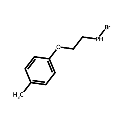 Cc1ccc(OCCPBr)cc1